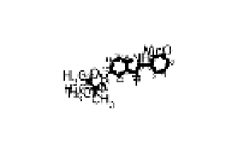 COc1ccccc1-c1[nH]c2ccc(B3OC(C)(C)C(C)(C)O3)cc2c1F